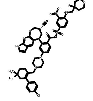 CC1(C)CCC(CN2CCN(c3ccc(C(=O)NS(=O)(=O)c4ccc(NCC5(F)CCOCC5)c([N+](=O)[O-])c4)c(N4C[C@@H](C#N)COc5nc6[nH]ccc6cc54)c3)CC2)=C(c2ccc(Cl)cc2)C1